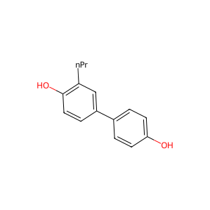 CCCc1cc(-c2ccc(O)cc2)ccc1O